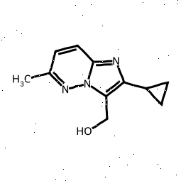 Cc1ccc2nc(C3CC3)c(CO)n2n1